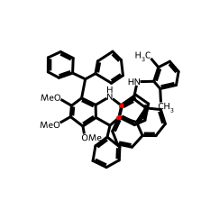 COc1c(OC)c(C(c2ccccc2)c2ccccc2)c(NC2=C(Nc3c(C)cccc3C)c3cccc4cccc2c34)c(C(c2ccccc2)c2ccccc2)c1OC